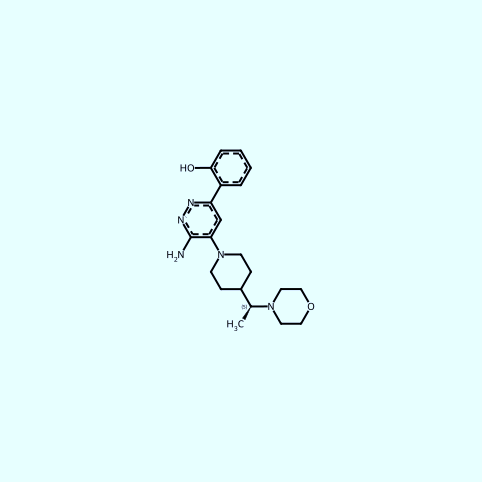 C[C@@H](C1CCN(c2cc(-c3ccccc3O)nnc2N)CC1)N1CCOCC1